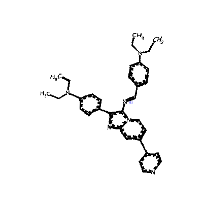 CCN(CC)c1ccc(/C=N/c2c(-c3ccc(N(CC)CC)cc3)nc3cc(-c4ccncc4)ccn23)cc1